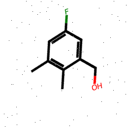 Cc1cc(F)cc(CO)c1C